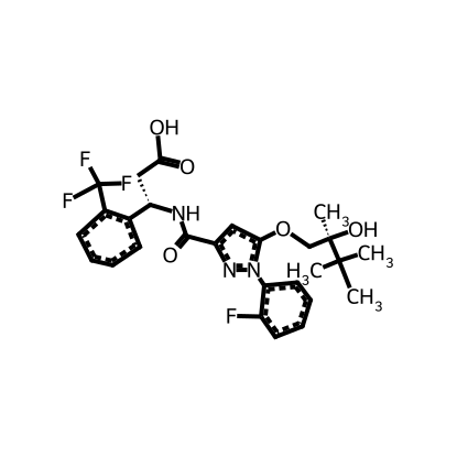 CC(C)(C)[C@](C)(O)COc1cc(C(=O)N[C@@H](CC(=O)O)c2ccccc2C(F)(F)F)nn1-c1ccccc1F